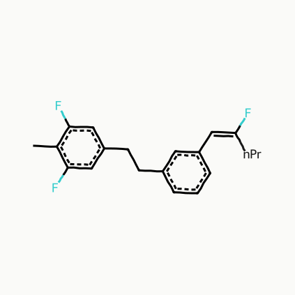 CCC/C(F)=C\c1cccc(CCc2cc(F)c(C)c(F)c2)c1